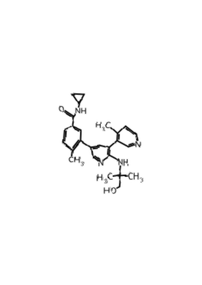 Cc1ccc(C(=O)NC2CC2)cc1-c1cnc(NC(C)(C)CO)c(-c2cnccc2C)c1